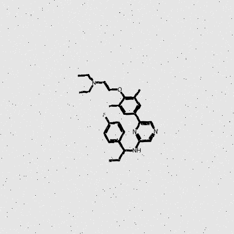 CCC(Nc1cncc(-c2cc(C)c(OCCN(CC)CC)c(C)c2)n1)c1ccc(F)cc1